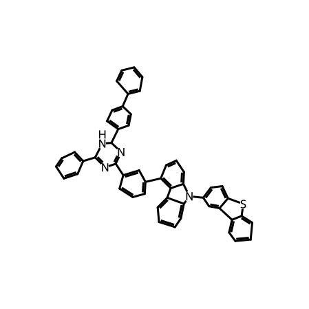 c1ccc(C2=NC(c3cccc(-c4cccc5c4c4ccccc4n5-c4ccc5sc6ccccc6c5c4)c3)=NC(c3ccc(-c4ccccc4)cc3)N2)cc1